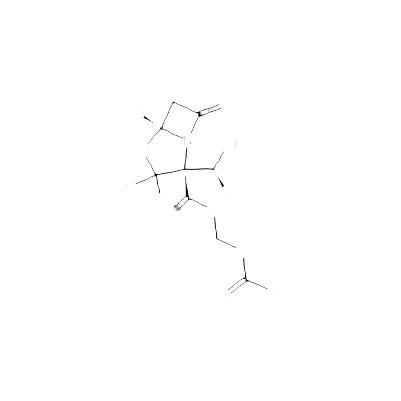 C[C@H](O)[C@@]1(C(=O)OCOC(=O)C(C)(C)C)N2C(=O)C[C@H]2SC1(C)C